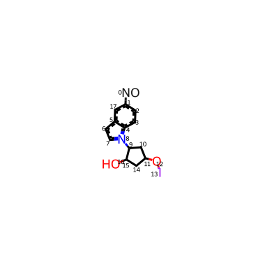 O=Nc1ccc2c(ccn2C2CC(OI)CC2O)c1